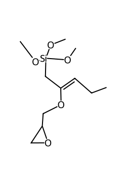 CC/C=C(/C[Si](OC)(OC)OC)OCC1CO1